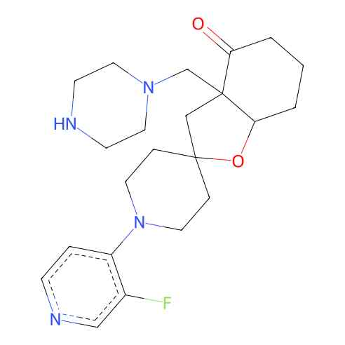 O=C1CCCC2OC3(CCN(c4ccncc4F)CC3)CC12CN1CCNCC1